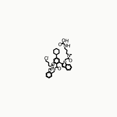 CN(CCCNC(=O)O)C(=O)Cn1c(-c2cc(C3CCCCC3)ccc2C(=O)N(Cc2ccccc2)S(=O)(=O)CCCCl)cc2ccccc21